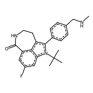 CNCc1ccc(-c2c3c4c(cc(F)cc4n2C(C)(C)C)C(=O)NCC3)cc1